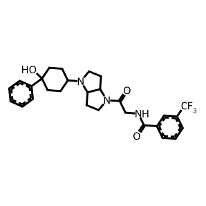 O=C(NCC(=O)N1CCC2C1CCN2C1CCC(O)(c2ccccc2)CC1)c1cccc(C(F)(F)F)c1